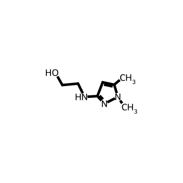 Cc1cc(NCCO)nn1C